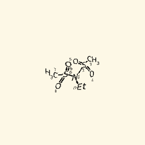 CCN(S(C)(=O)=O)S(C)(=O)=O